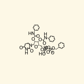 O=C(Nc1ccccc1)OC1[C@@H](OC(=O)Nc2ccccc2)[C@@H](COP(=O)(O)OP(=O)(O)OCc2ccccc2)O[C@H]1n1ccc(=O)[nH]c1=O